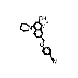 Cc1cc(N2CCCCC2)c2ccc(COc3ccc(C#N)cc3)cc2n1